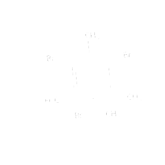 CC1=C(Br)C(C)C(C)(Br)C(C)=C1Br